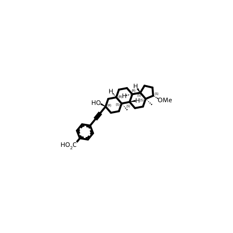 CO[C@H]1CC[C@H]2[C@@H]3CC[C@@H]4C[C@@](O)(C#Cc5ccc(C(=O)O)cc5)CC[C@]4(C)[C@H]3CC[C@]12C